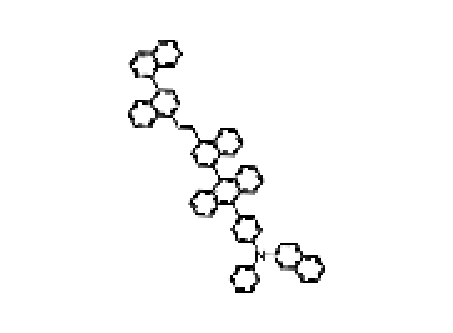 C(=C\c1ccc(-c2c3ccccc3c(-c3ccc(N(c4ccccc4)c4ccc5ccccc5c4)cc3)c3ccccc23)c2ccccc12)/c1ccc(-c2cccc3ccccc23)c2ccccc12